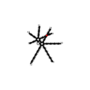 C#CC#CC#CC#CC#Cc1c(C#CC#CC#CC#CC)c(C#CC#CC#CC#C)c2c(oc3c(C#CC#C)c(C#CC#CC)c(C#CC#CC#C)c(C#CC#CC#CC)c32)c1C#CC#CC#CC#CC#CC